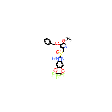 COc1cnc(C[S+]([O-])c2nc3cc4c(cc3[nH]2)OC(F)(F)C(F)(F)O4)cc1OCc1ccccc1